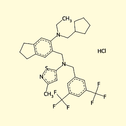 CCN(CC1CCCC1)c1cc2c(cc1CN(Cc1cc(C(F)(F)F)cc(C(F)(F)F)c1)c1cc(C)ns1)CCC2.Cl